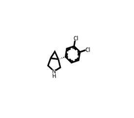 Clc1ccc([C@]23CNCC2C3)cc1Cl